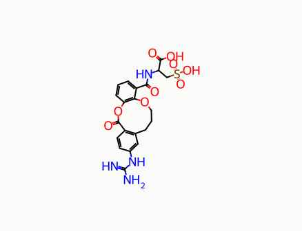 N=C(N)Nc1ccc2c(c1)CCCOc1c(cccc1C(=O)NC(CS(=O)(=O)O)C(=O)O)OC2=O